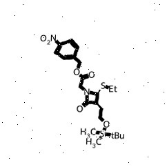 CCS[C@@H]1[C@@H](CCO[Si](C)(C)C(C)(C)C)C(=O)N1CC(=O)OCc1ccc([N+](=O)[O-])cc1